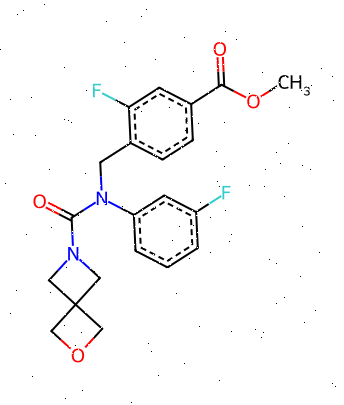 COC(=O)c1ccc(CN(C(=O)N2CC3(COC3)C2)c2cccc(F)c2)c(F)c1